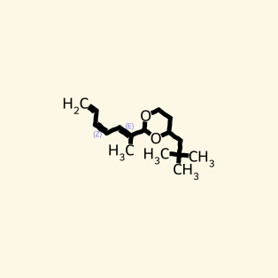 C=C/C=C\C=C(/C)C1OCCC(CC(C)(C)C)O1